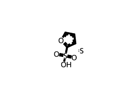 O=S(=O)(O)c1ccco1.[S]